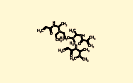 C=C(C)C(=O)NC(C)N(C)C.C=CC(=O)NC(C)N(C)C.C=CC(=O)NC(C)N(CC)CC